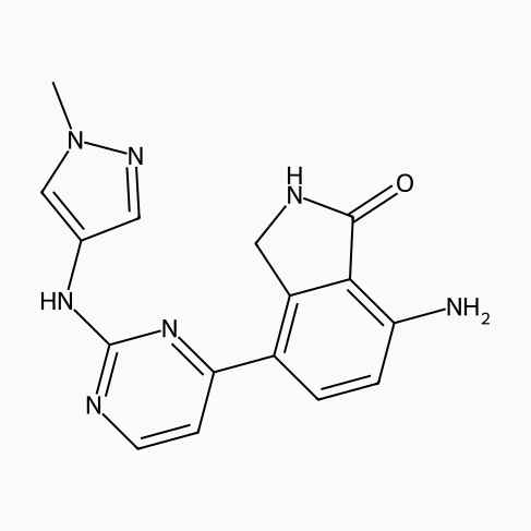 Cn1cc(Nc2nccc(-c3ccc(N)c4c3CNC4=O)n2)cn1